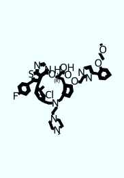 COCCOc1ccccc1-c1ccnc(COc2ccc3cc2C[C@H](C(=O)O)Oc2ncnc4sc(-c5ccc(F)cc5)c(c24)-c2ccc(c(Cl)c2C)CN(CCN2CCN(C)CC2)C3)n1